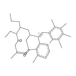 CCCC(CC1CC(=O)c2c(C)cccc2/C1=C\c1c(C)c(C)c(C)c(C)c1C)C(CC)C(=O)CC(C)=O